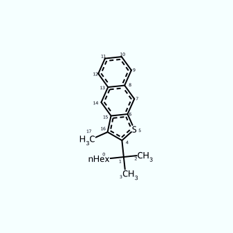 CCCCCCC(C)(C)c1sc2cc3ccccc3cc2c1C